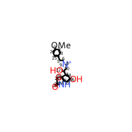 COc1ccc(CC[N+](C)(C)CC(O)c2cc(O)cc3c2OCC(=O)N3)cc1